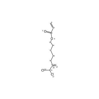 C=CC(=O)OCCCCC[SiH2]C(Cl)Cl